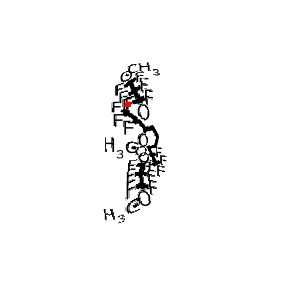 COC(F)(F)C(F)(F)C(F)(F)OC(F)(C1CCCC(OC)(C(F)(OC(F)(F)C(F)(F)C(F)(F)OC)C(F)(F)F)O1)C(F)(F)F